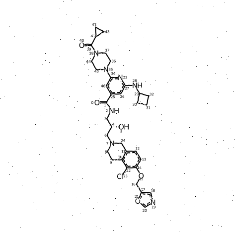 O=C(NC[C@H](O)CN1CCc2c(ccc(OCc3cnco3)c2Cl)C1)c1cc(NC2CCC2)nc(N2CCN(C(=O)C3CC3)CC2)c1